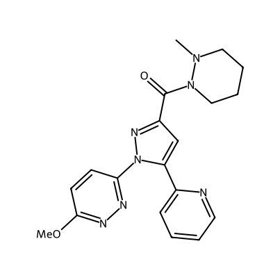 COc1ccc(-n2nc(C(=O)N3CCCCN3C)cc2-c2ccccn2)nn1